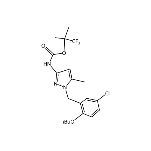 Cc1cc(NC(=O)OC(C)(C)C(F)(F)F)nn1Cc1cc(Cl)ccc1OCC(C)C